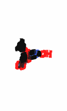 Cc1cc(C)cc(Oc2ccc([N+](=O)[O-])cc2S(=O)(=O)N2CCN(CCO)CC2)c1